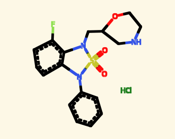 Cl.O=S1(=O)N(CC2CNCCO2)c2c(F)cccc2N1c1ccccc1